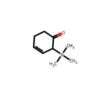 C[Si](C)(C)C1C=CCCC1=O